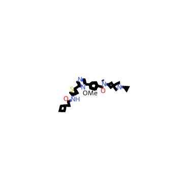 COc1cc(-c2cncc(-c3cc(NC(=O)CC4CCC4)cs3)n2)ccc1C(=O)N(C)C1CC2(C1)CN(C1CC1)C2